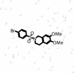 COc1cc2c(cc1OC)CN(S(=O)(=O)c1ccc(Br)cc1)CC2